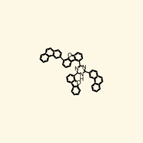 c1ccc2c(c1)ccc1ccc(C3=NC(c4cccc5oc6c(-c7ccc8ccc9ccccc9c8c7)cccc6c45)=NC(c4cccc5c4oc4ccccc45)N3)cc12